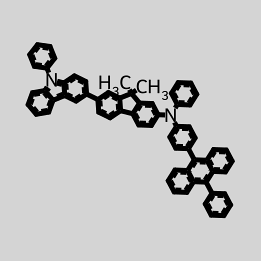 CC1(C)c2cc(-c3ccc4c(c3)c3ccccc3n4-c3ccccc3)ccc2-c2ccc(N(c3ccccc3)c3ccc(-c4c5ccccc5c(-c5ccccc5)c5ccccc45)cc3)cc21